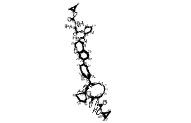 CC(C)[C@H](NC(=O)OC1CC1)C(=O)N1CCC[C@H]1c1nc2c([nH]1)COc1cc(-c3ccc(-c4nc5[nH]c4COCCCC[C@H](NC(=O)OC4CC4)C(=O)N4CCC[C@@H]54)cc3)ccc1-2